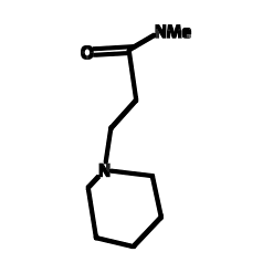 CNC(=O)CCN1CCCCC1